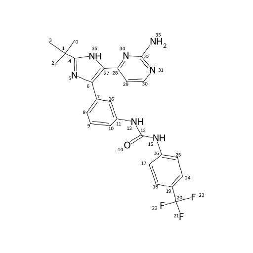 CC(C)(C)c1nc(-c2cccc(NC(=O)Nc3ccc(C(F)(F)F)cc3)c2)c(-c2ccnc(N)n2)[nH]1